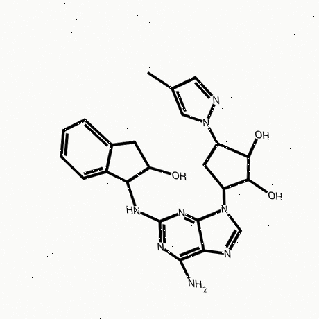 Cc1cnn(C2CC(n3cnc4c(N)nc(NC5c6ccccc6CC5O)nc43)C(O)C2O)c1